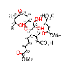 COC(=O)CCCC(=O)O.COC(=O)CCCCC(/C(C)=C/C(=O)O)[C@@H]1OC[C@H](C[C@@H]2O[C@H]2[C@@H](C)[C@H](C)O)[C@@H](O)[C@H]1O